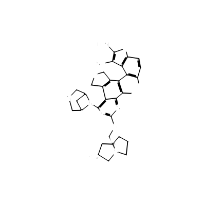 N#Cc1c(N)sc2ccc(F)c(-c3c4c(c5c(N6C7CNCC6C7)nc(OC[C@@]67CCCN6C[C@H](F)C7)nc5c3F)COC4)c12